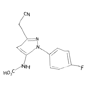 N#CCc1cc(NC(=O)O)n(-c2ccc(F)cc2)n1